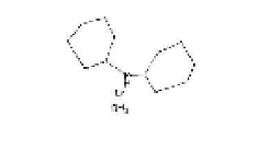 B.C1CCC(PC2CCCCC2)CC1.[Li]